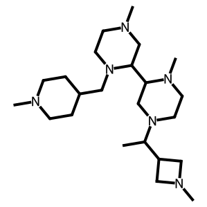 CC(C1CN(C)C1)N1CCN(C)C(C2CN(C)CCN2CC2CCN(C)CC2)C1